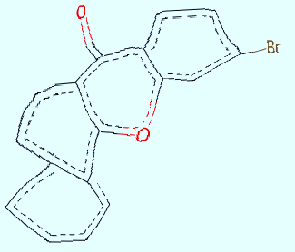 O=c1c2ccc(Br)cc2oc2c1ccc1ccccc12